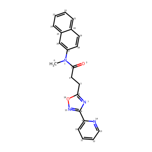 CN(C(=O)CCc1nc(-c2ccccn2)no1)c1ccc2ccccc2c1